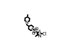 Cc1nc(Cl)sc1S(=O)(=O)N1CCC(CN2CCC(C)CC2)CC1